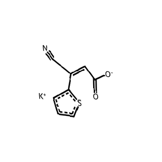 N#C/C(=C/C(=O)[O-])c1cccs1.[K+]